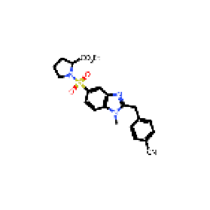 CCOC(=O)C1CCCN1S(=O)(=O)c1ccc2c(c1)nc(Cc1ccc(C#N)cc1)n2C